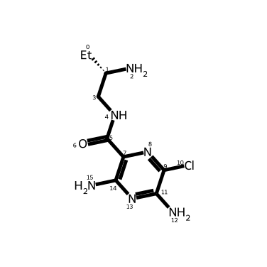 CC[C@H](N)CNC(=O)c1nc(Cl)c(N)nc1N